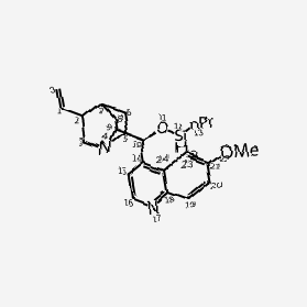 C=CC1CN2CCC1CC2[C@@H](O[SiH2]CCC)c1ccnc2ccc(OC)cc12